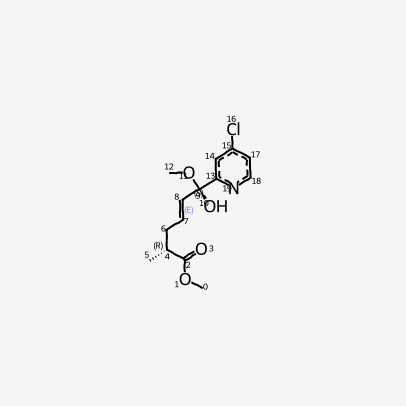 COC(=O)[C@H](C)C/C=C/[C@](O)(OC)c1cc(Cl)ccn1